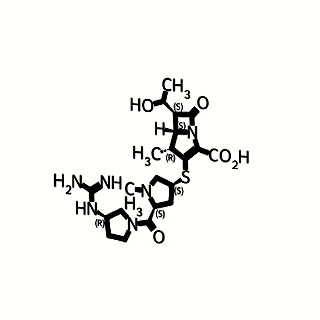 CC(O)[C@H]1C(=O)N2C(C(=O)O)=C(S[C@H]3C[C@@H](C(=O)N4CC[C@@H](NC(=N)N)C4)N(C)C3)[C@H](C)[C@H]12